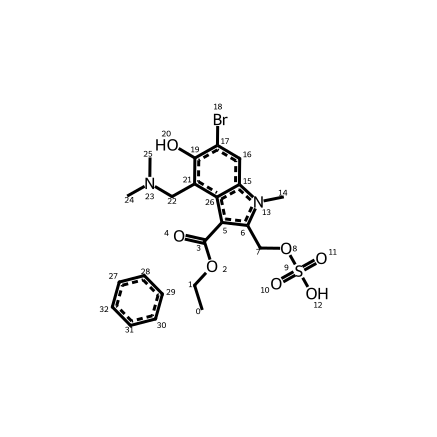 CCOC(=O)c1c(COS(=O)(=O)O)n(C)c2cc(Br)c(O)c(CN(C)C)c12.c1ccccc1